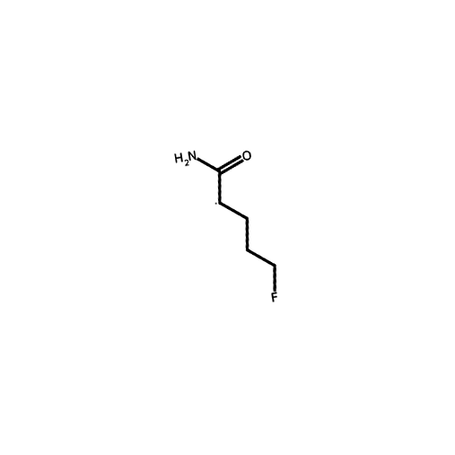 NC(=O)[CH]CCCF